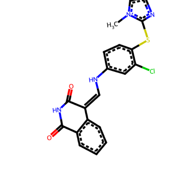 Cn1ccnc1Sc1ccc(N/C=C2\C(=O)NC(=O)c3ccccc32)cc1Cl